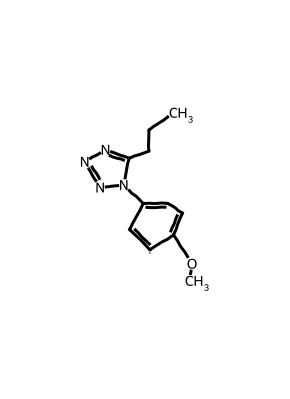 CCCc1nnnn1-c1c[c]c(OC)cc1